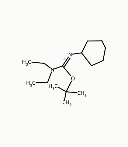 CCN(CC)/C(=N/C1CCCCC1)OC(C)(C)C